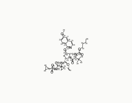 C=C[C@@H]1C[C@]1(NC(=O)[C@@H]1C[C@@H](Oc2nccc3cc(OC)ccc23)CN1C(=O)[C@@H](NC(=O)OCCCC)C(C)(C)C)C(=O)NS(=O)(=O)C1CC1